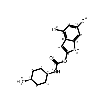 C[C@H]1CC[C@@H](NC(=O)Oc2cc3c(Cl)cc(Cl)cc3[nH]2)CC1